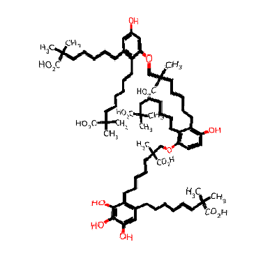 CC(C)(CCCCCCc1cc(O)c(O)c(O)c1CCCCCC(C)(COc1ccc(O)c(CCCCCC(C)(COc2cc(O)cc(CCCCCC(C)(C)C(=O)O)c2CCCCCCC(C)(C)C(=O)O)C(=O)O)c1CCCCCCC(C)(C)C(=O)O)C(=O)O)C(=O)O